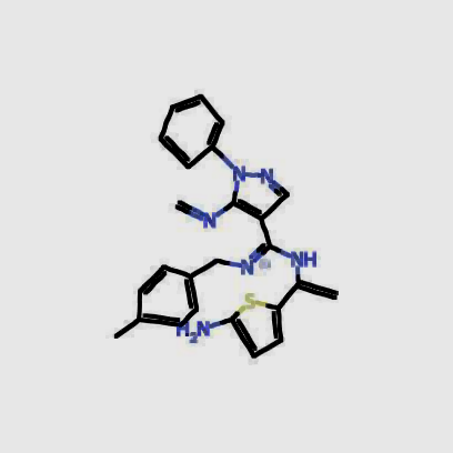 C=Nc1c(/C(=N\Cc2ccc(C)cc2)NC(=C)c2ccc(N)s2)cnn1-c1ccccc1